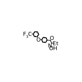 CCC(=NO)C(=O)c1ccc(Oc2cccc(C(F)(F)F)c2)cc1